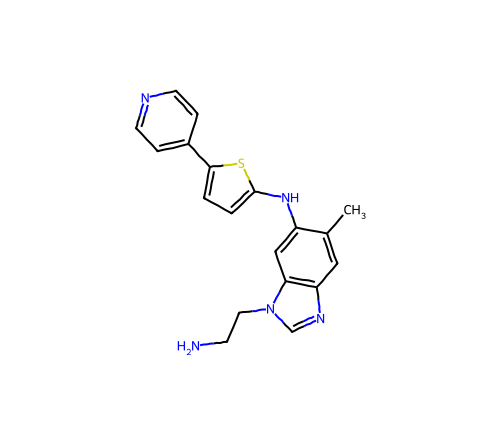 Cc1cc2ncn(CCN)c2cc1Nc1ccc(-c2ccncc2)s1